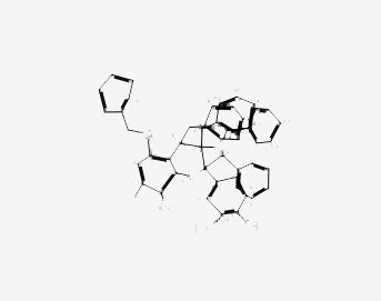 CC(=O)O[C@@]1(Cc2ccccc2)c2c(OCc3ccccc3)cc(O)c(Br)c2OC(Cc2ccccc2)(c2ccc(O)c(O)c2)C1(Cc1ccccc1)OCc1ccccc1